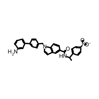 CC(NC(=O)c1ccc2c(ccn2Cc2ccc(-c3cccc(N)c3)cc2)c1)c1ccc([N+](=O)[O-])cc1